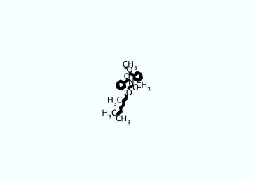 CCOC(=O)c1cccc(C)c1N(Cc1ccccc1)C(=O)COC/C=C(\C)CCC=C(C)C